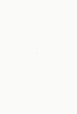 C#Cc1ccc(N2C(=O)c3c(C)sc(C)c3C2=O)cc1